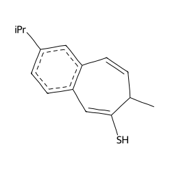 CC1C=Cc2cc(C(C)C)ccc2C=C1S